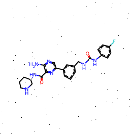 Nc1ncc(-c2cccc(CNC(=O)Nc3ccc(F)cc3)c2)nc1C(=O)N[C@H]1CCCNC1